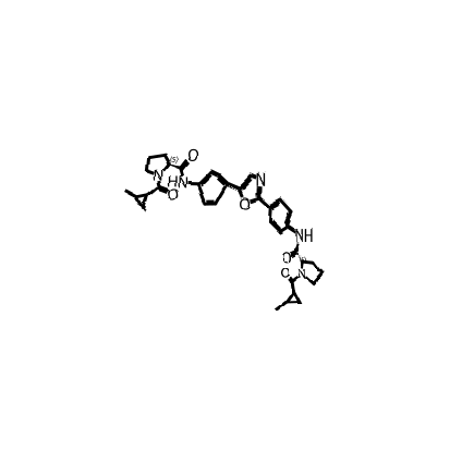 CC1CC1C(=O)N1CCC[C@H]1C(=O)Nc1ccc(-c2cnc(-c3ccc(NC(=O)[C@@H]4CCCN4C(=O)C4CC4C)cc3)o2)cc1